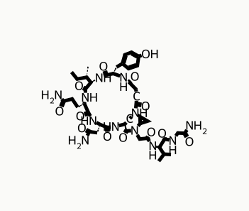 CC[C@H](C)[C@@H]1NC(=O)[C@H](Cc2ccc(O)cc2)NC(=O)CCC(=O)NC[C@@H](C(=O)N(CC(=O)N[C@@H](C(=O)NCC(N)=O)C(C)C)C2CC2)NC(=O)[C@H](CC(N)=O)NC(=O)[C@H](CCC(N)=O)NC1=O